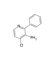 Pc1c(Cl)ccnc1-c1ccccc1